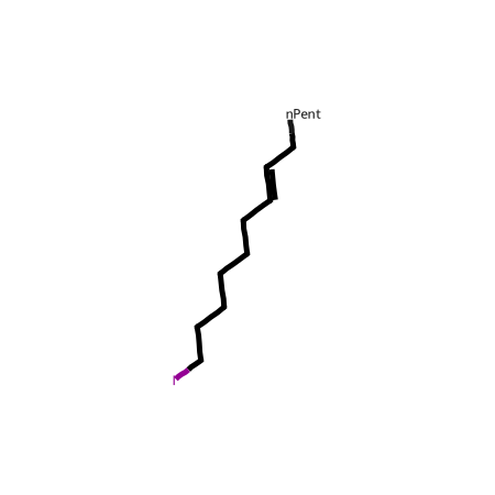 CCCCCCC=CCCCCCCI